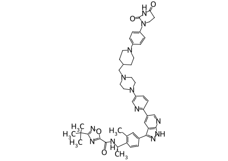 Cc1cc(-c2n[nH]c3ncc(-c4ccc(N5CCN(CC6CCN(c7ccc(N8CCC(=O)NC8=O)cc7)CC6)CC5)cn4)cc23)ccc1[C@@H](C)NC(=O)c1nc(C(C)(C)C)no1